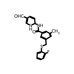 Cc1cc(CSc2ccccc2F)cc(C(=O)NC2C=CC(C=O)=CN2)c1